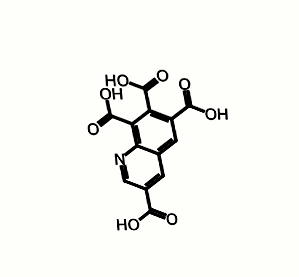 O=C(O)c1cnc2c(C(=O)O)c(C(=O)O)c(C(=O)O)cc2c1